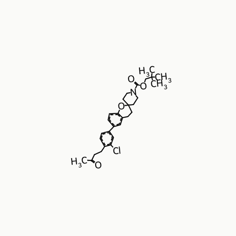 CC(=O)CCc1ccc(-c2ccc3c(c2)CCC2(CCN(C(=O)OCC(C)(C)C)CC2)O3)cc1Cl